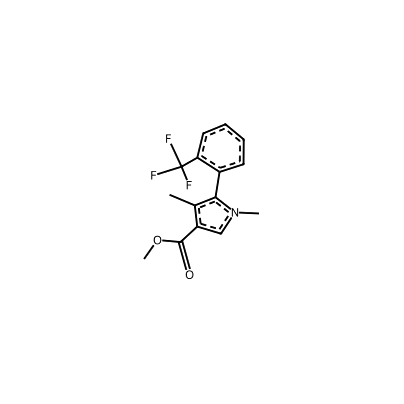 COC(=O)c1cn(C)c(-c2ccccc2C(F)(F)F)c1C